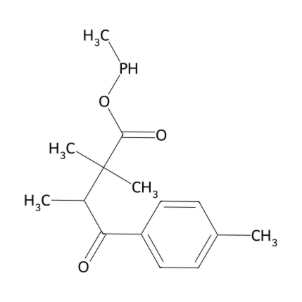 CPOC(=O)C(C)(C)C(C)C(=O)c1ccc(C)cc1